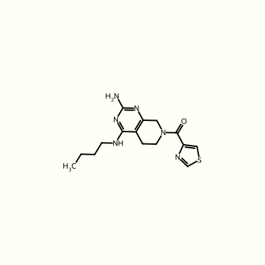 CCCCNc1nc(N)nc2c1CCN(C(=O)c1cscn1)C2